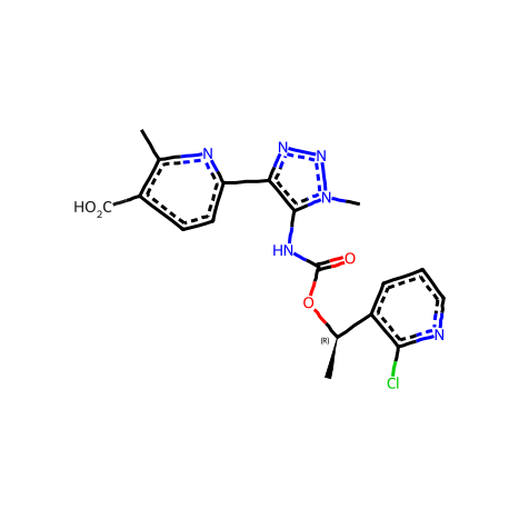 Cc1nc(-c2nnn(C)c2NC(=O)O[C@H](C)c2cccnc2Cl)ccc1C(=O)O